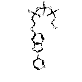 OCCC(F)(F)OC(F)(F)OC(F)(F)CCOc1ccc2cc(-c3cccnc3)sc2c1